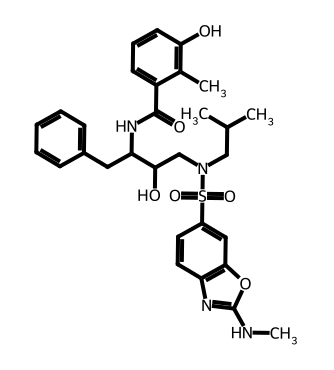 CNc1nc2ccc(S(=O)(=O)N(CC(C)C)CC(O)C(Cc3ccccc3)NC(=O)c3cccc(O)c3C)cc2o1